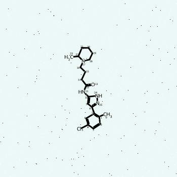 Cc1ccc(Cl)cc1-c1cc(NC(=O)CCCN2CCCCC2C)[nH]n1